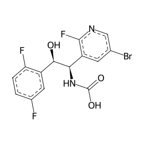 O=C(O)N[C@H](c1cc(Br)cnc1F)[C@H](O)c1cc(F)ccc1F